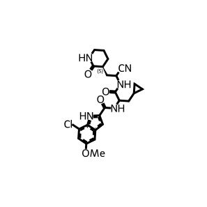 COc1cc(Cl)c2[nH]c(C(=O)NC(CC3CC3)C(=O)NC(C#N)C[C@@H]3CCCNC3=O)cc2c1